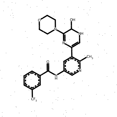 Cc1ncc(NC(=O)c2cccc(C(F)(F)F)c2)cc1C1=CNC(O)C(N2CCOCC2)=N1